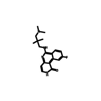 CN(C)CC(C)(C)CNc1nc2cc[nH]c(=O)c2c2cc(F)ccc12